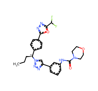 CCC[C@@H](c1ccc(-c2nnc(C(F)F)o2)cc1)n1cc(-c2cccc(NC(=O)N3CCOCC3)c2)nn1